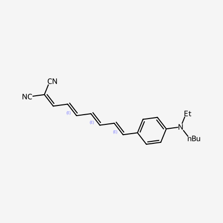 CCCCN(CC)c1ccc(/C=C/C=C/C=C/C=C(C#N)C#N)cc1